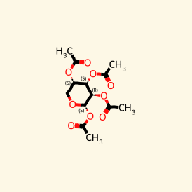 CC(=O)O[C@@H]1OC[C@H](OC(C)=O)[C@H](OC(C)=O)[C@H]1OC(C)=O